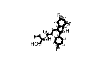 O=C(CCc1c(-c2ccc(F)cc2)[nH]c2c(F)cc(F)cc12)NC(CO)CF